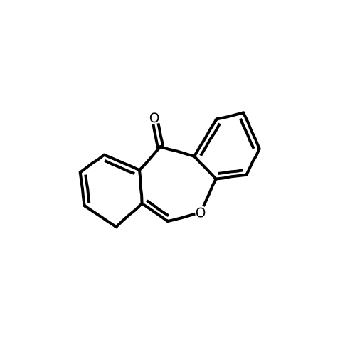 O=C1C2=CC=CCC2=COc2ccccc21